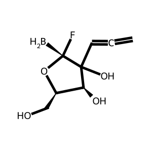 B[C@]1(F)O[C@H](CO)[C@H](O)C1(O)C=C=C